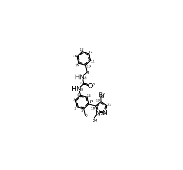 Cc1ccc(NC(=O)NCc2ccccc2)cc1-c1c(Br)cnn1C